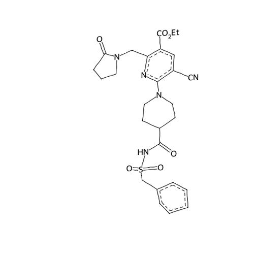 CCOC(=O)c1cc(C#N)c(N2CCC(C(=O)NS(=O)(=O)Cc3ccccc3)CC2)nc1CN1CCCC1=O